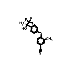 Cc1cc(C#N)ccc1Sc1ccc([C@](C)(O)C(F)(F)F)cc1